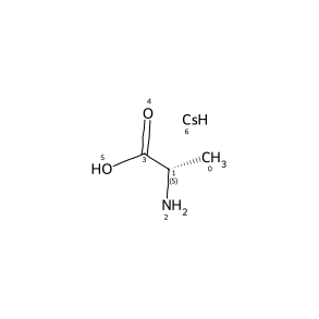 C[C@H](N)C(=O)O.[CsH]